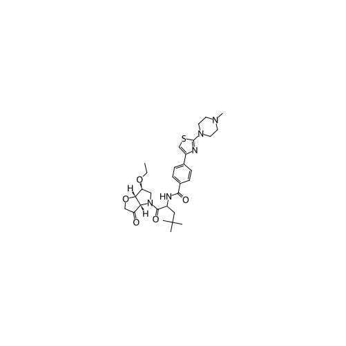 CCO[C@H]1CN(C(=O)C(CC(C)(C)C)NC(=O)c2ccc(-c3csc(N4CCN(C)CC4)n3)cc2)[C@@H]2C(=O)CO[C@H]12